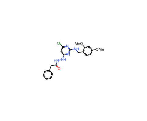 COc1ccc(CNc2nc(Cl)cc(NNC(=O)Cc3ccccc3)n2)c(OC)c1